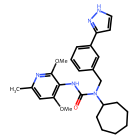 COc1cc(C)nc(OC)c1NC(=O)N(Cc1cccc(-c2cc[nH]n2)c1)C1CCCCCC1